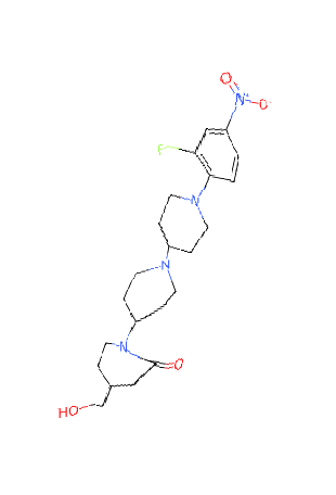 O=C1CC(CO)CCN1C1CCN(C2CCN(c3ccc([N+](=O)[O-])cc3F)CC2)CC1